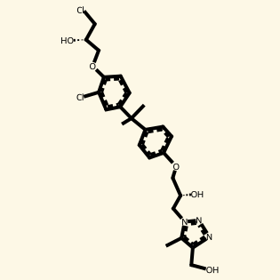 Cc1c(CO)nnn1C[C@@H](O)COc1ccc(C(C)(C)c2ccc(OC[C@H](O)CCl)c(Cl)c2)cc1